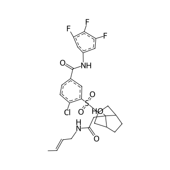 C/C=C/CNC(=O)CC1(O)C2CCC1CC(S(=O)(=O)c1cc(C(=O)Nc3cc(F)c(F)c(F)c3)ccc1Cl)C2